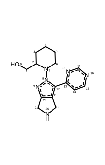 OCC1CCCCN1n1nc2c(c1-c1ccncn1)CNC2